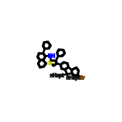 CCCCCCCC1(CCCCCCC)c2cc(Br)ccc2-c2ccc(-c3csc(Nc4c(-c5ccccc5)ccc5ccccc45)c3-c3ccccc3)cc21